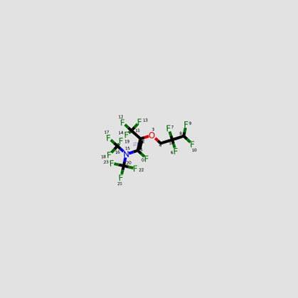 F/C(=C(\OCC(F)(F)C(F)F)C(F)(F)F)N(C(F)(F)F)C(F)(F)F